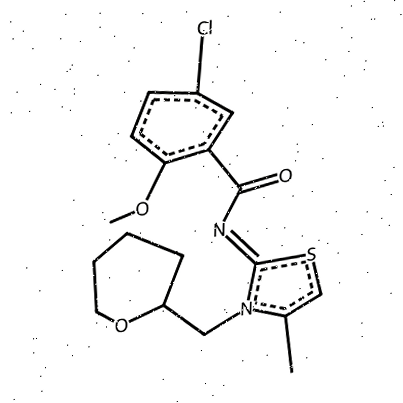 COc1ccc(Cl)cc1C(=O)N=c1scc(C)n1CC1CCCCO1